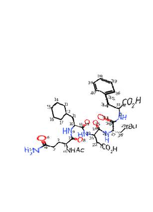 CC(=O)N[C@@H](CCC(N)=O)C(=O)N[C@@H](CC1CCCCC1)C(=O)NC(CC(=O)O)C(=O)N[C@@H](CC(C)(C)C)C(=O)NC(Cc1ccccc1)C(=O)O